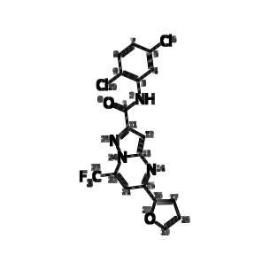 O=C(Nc1cc(Cl)ccc1Cl)c1cc2nc(-c3ccco3)cc(C(F)(F)F)n2n1